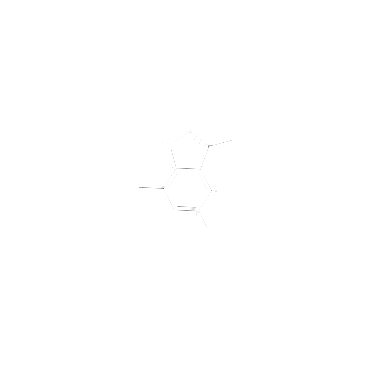 Cc1csc2c(Cl)cc(O)cc12